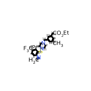 C=Nc1ccc(C(F)(F)F)cc1SN1CCN(Cc2cc(C)cc(CC(=O)OCC)c2)C[C@H]1C(C)C